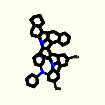 CC(C)(C)c1cc(N(c2ccccc2)c2ccccc2)c2c(c1)c1cc(C(C)(C)C)cc3c4c5c6c7ccccc7cc7c8c9ccccc9ccc8n(c5cnc4n2c13)c76